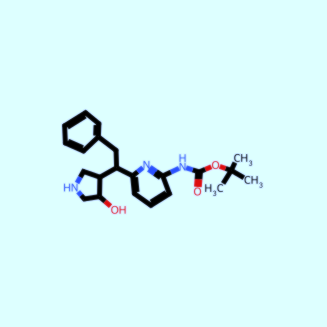 CC(C)(C)OC(=O)Nc1cccc(C(Cc2ccccc2)C2CNCC2O)n1